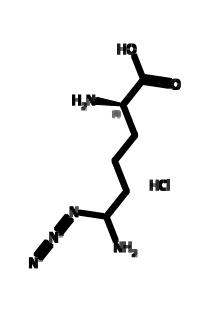 Cl.[N-]=[N+]=NC(N)CCC[C@@H](N)C(=O)O